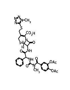 CC(=O)Oc1ccc(C(=O)N(C)C(=O)NC(C(=O)NC2C(=O)N3C(C(=O)O)=C(CSc4nnnn4C)CS[C@@H]23)c2ccccc2)cc1OC(C)=O